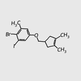 CC1=C(C)CC(COc2cc(C)c(Br)c(I)c2)C1